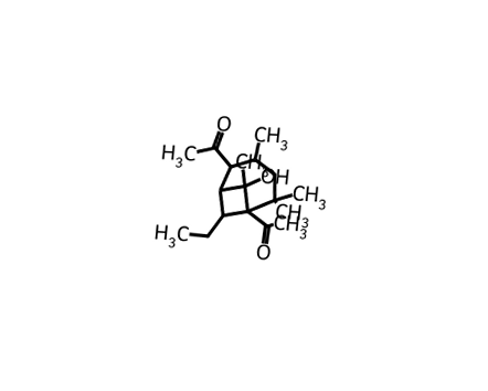 CCC1C2C(C(C)=O)C(C)CC(C)(C)C1(C(C)=O)C2(C)O